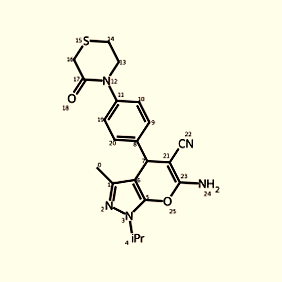 Cc1nn(C(C)C)c2c1C(c1ccc(N3CCSCC3=O)cc1)C(C#N)=C(N)O2